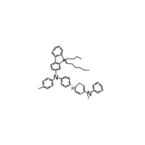 CCCCCC[C@]1(CCCC)c2ccccc2-c2ccc(N(c3ccc(C)cc3)c3ccc([C@H]4C=CC(N(C)c5ccccc5)=CC4)cc3)cc21